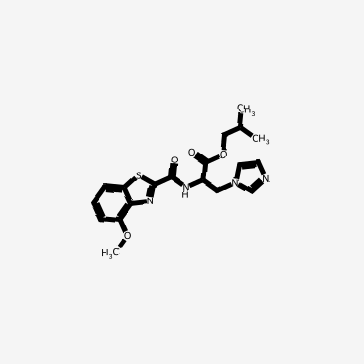 COc1cccc2sc(C(=O)NC(Cn3ccnc3)C(=O)OCC(C)C)nc12